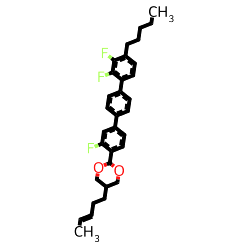 C/C=C/CCC1COC(c2ccc(-c3ccc(-c4ccc(CCCCC)c(F)c4F)cc3)cc2F)OC1